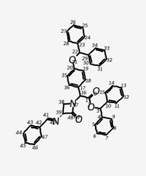 O=C(OC(c1ccccc1)c1ccccc1)C(c1ccc(OC(c2ccccc2)c2ccccc2)cc1)N1C[C@@H](N=Cc2ccccc2)C1=O